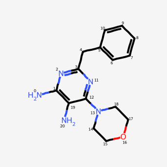 Nc1nc(Cc2ccccc2)nc(N2CCOCC2)c1N